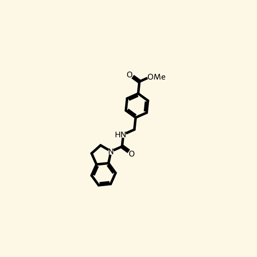 COC(=O)c1ccc(CNC(=O)N2CCc3ccccc32)cc1